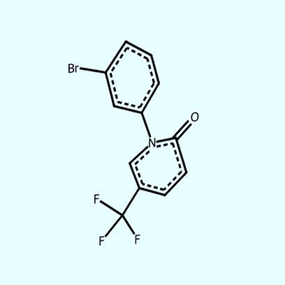 O=c1ccc(C(F)(F)F)cn1-c1cccc(Br)c1